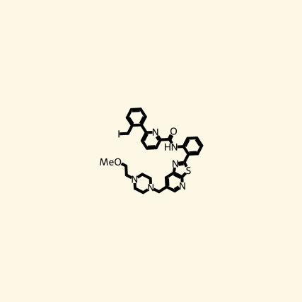 COCCN1CCN(Cc2cnc3sc(-c4ccccc4NC(=O)c4cccc(-c5ccccc5CI)n4)nc3c2)CC1